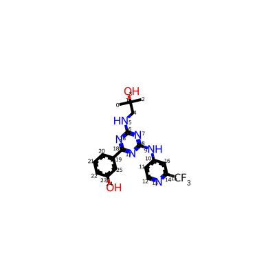 CC(C)(O)CNc1nc(Nc2ccnc(C(F)(F)F)c2)nc(-c2cccc(O)c2)n1